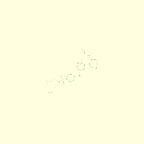 CCCN(CC1CC1)S(=O)(=O)c1ccc(Nc2ncc3c(n2)-c2ccccc2N(C)C(=O)C3)cc1